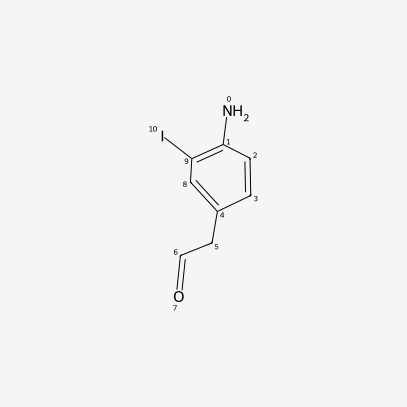 Nc1ccc(CC=O)cc1I